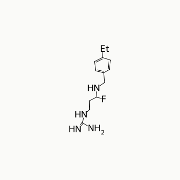 CCc1ccc(CNC(F)CCNC(=N)N)cc1